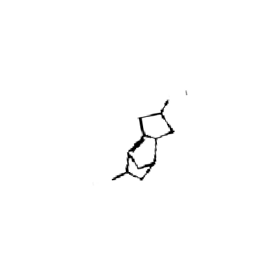 O=C(O)C1CC2=C3CC(CC3C(=O)O)C2C1